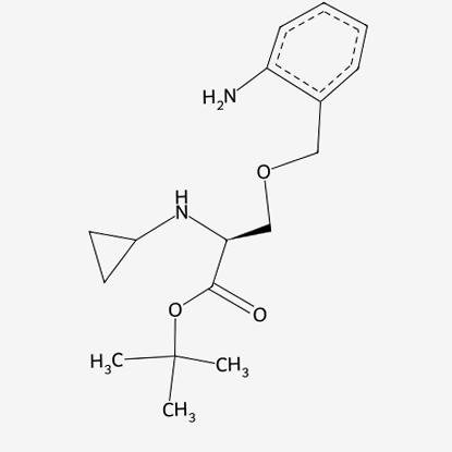 CC(C)(C)OC(=O)[C@H](COCc1ccccc1N)NC1CC1